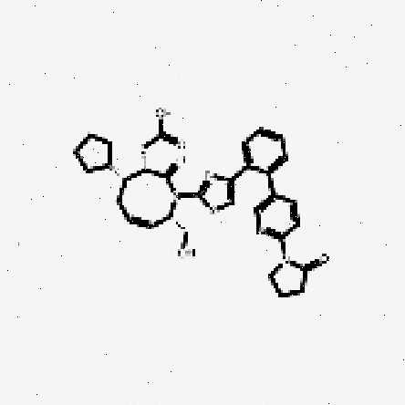 O=C(O)C[C@@H]1C(=O)N(c2nc(-c3ccccc3-c3ccc(N4CCCC4=O)nc3)cs2)[C@H](CO)/C=C\C[C@@H]1C1CCCC1